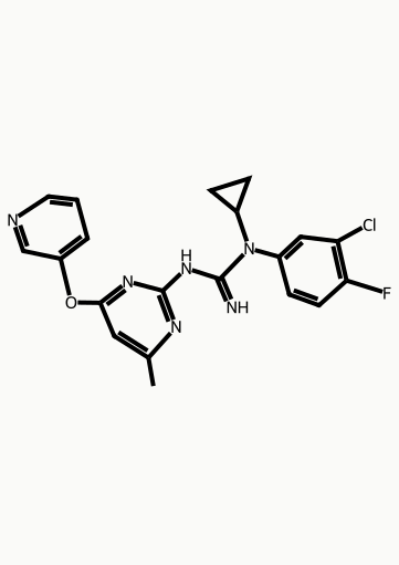 Cc1cc(Oc2cccnc2)nc(NC(=N)N(c2ccc(F)c(Cl)c2)C2CC2)n1